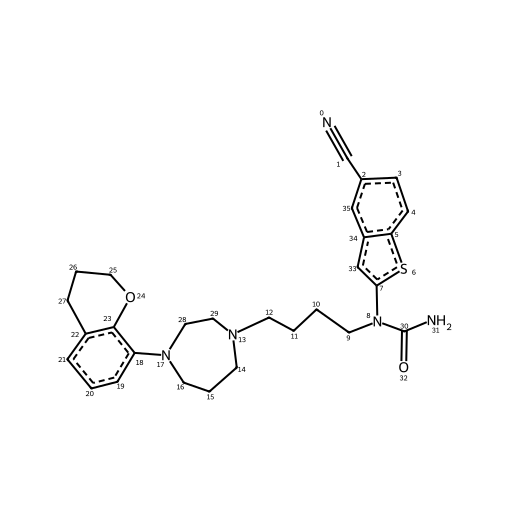 N#Cc1ccc2sc(N(CCCCN3CCCN(c4cccc5c4OCCC5)CC3)C(N)=O)cc2c1